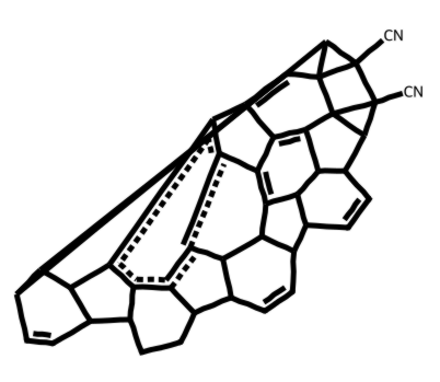 N#CC12C3C4C=CC5C6C=CC7C8CCC9c%10c8c8c%11c%12c%10C%10C9C=CC9C%10C%10=C%12C%12=C(C4C5C(=C%12%11)C6C87)C31C%101C9C21C#N